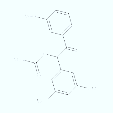 CNC(=O)OC(C(=O)c1cccc(OC)c1)c1cc(OC)cc(OC)c1